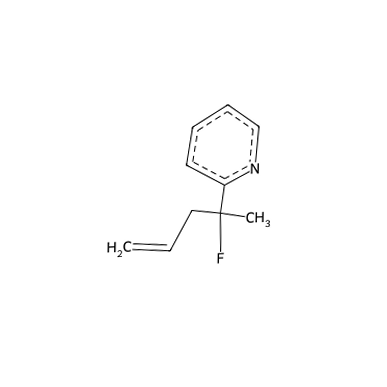 C=CCC(C)(F)c1ccccn1